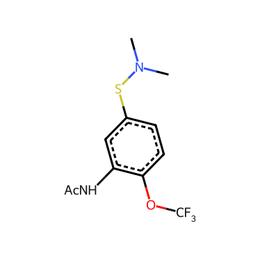 CC(=O)Nc1cc(SN(C)C)ccc1OC(F)(F)F